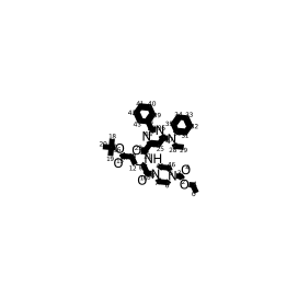 CCOC(=O)N1CCN(C(=O)[C@H](CCC(=O)OC(C)(C)C)NC(=O)c2cc(N(CC)c3ccccc3)nc(-c3ccccc3)n2)CC1